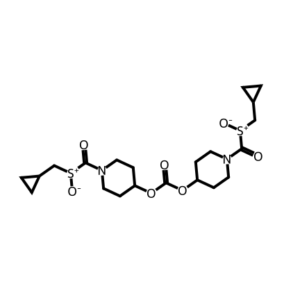 O=C(OC1CCN(C(=O)[S+]([O-])CC2CC2)CC1)OC1CCN(C(=O)[S+]([O-])CC2CC2)CC1